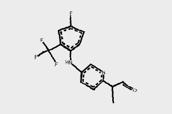 CC(C=O)c1ccc(Nc2ccc(F)cc2C(F)(F)F)cn1